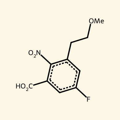 COCCc1cc(F)cc(C(=O)O)c1[N+](=O)[O-]